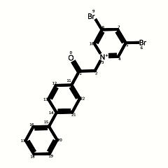 O=C(C[n+]1cc(Br)cc(Br)c1)c1ccc(-c2ccccc2)cc1